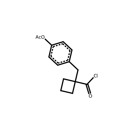 CC(=O)Oc1ccc(CC2(C(=O)Cl)CCC2)cc1